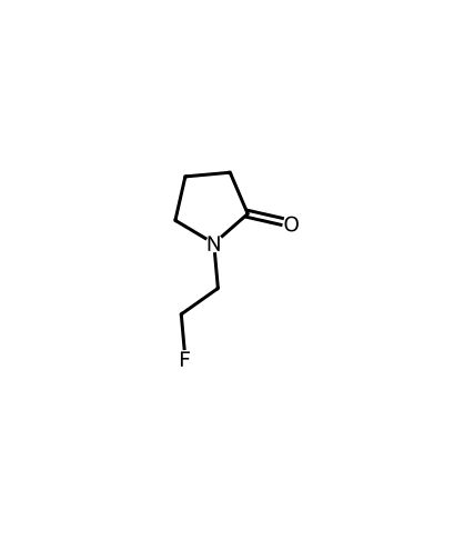 O=C1CCCN1CCF